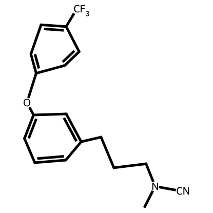 CN(C#N)CCCc1cccc(Oc2ccc(C(F)(F)F)cc2)c1